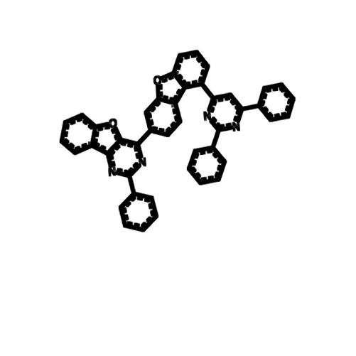 c1ccc(-c2cc(-c3cccc4oc5cc(-c6nc(-c7ccccc7)nc7c6oc6ccccc67)ccc5c34)nc(-c3ccccc3)n2)cc1